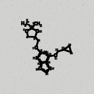 CC1(C)OCC(COc2nc(OCC3CC3)c3ncoc3n2)O1